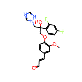 COc1cc(C=CC=O)ccc1OCC(O)(Cn1cncn1)c1ccc(F)cc1F